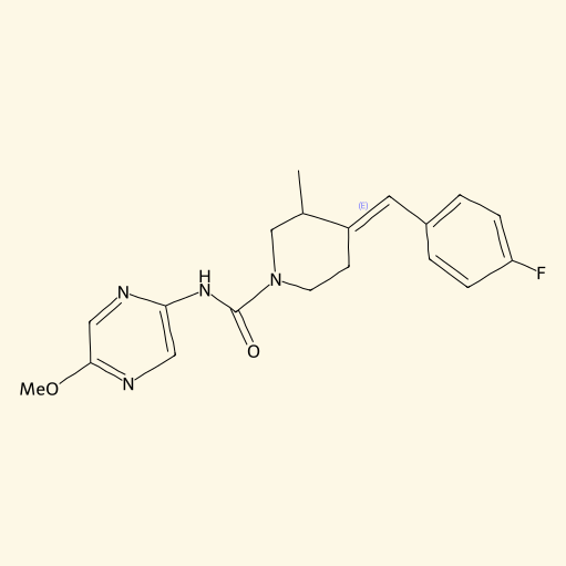 COc1cnc(NC(=O)N2CC/C(=C\c3ccc(F)cc3)C(C)C2)cn1